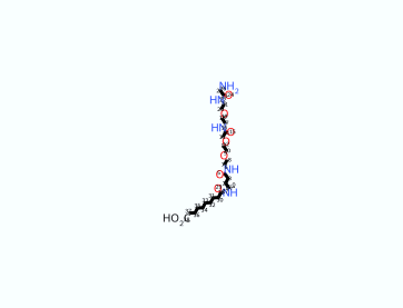 C[C@@H](CCC(=O)NCCOCCOCC(=O)NCCOCCNC(=O)CN)NC(=O)CCCCCCCCC(=O)O